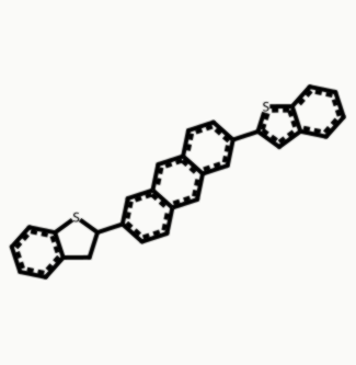 c1ccc2c(c1)CC(c1ccc3cc4cc(-c5cc6ccccc6s5)ccc4cc3c1)S2